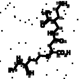 CC(C)[SiH2]C(=N)CCCSC(CC(=O)NCC(CCN)C(=O)C(C)C)C(=O)O